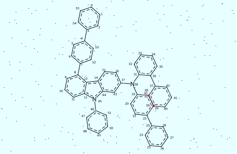 c1ccc(-c2ccc(-c3cccc4c3c3ccc(N(c5ccc(-c6ccccc6)cc5)c5ccccc5-c5ccccc5)cc3n4-c3ccccc3)cc2)cc1